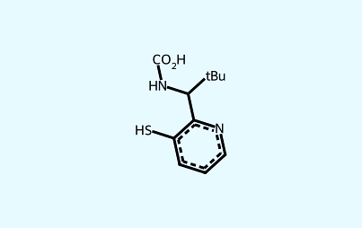 CC(C)(C)C(NC(=O)O)c1ncccc1S